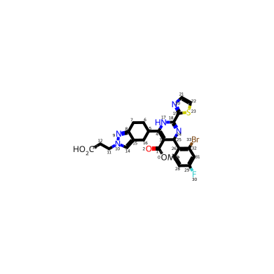 COC(=O)C1=C(C2CCc3nn(CCC(=O)O)cc3C2)NC(c2nccs2)=NC1c1ccc(F)cc1Br